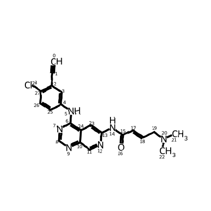 C#Cc1cc(Nc2ncnc3cnc(NC(=O)C=CCN(C)C)cc23)ccc1Cl